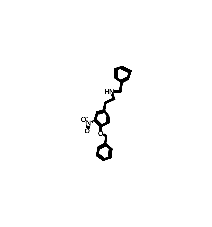 O=[N+]([O-])c1cc(CCNCc2ccccc2)ccc1OCc1ccccc1